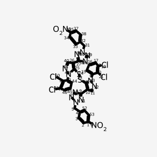 O=[N+]([O-])c1ccc(Cn2nnc(-c3cnn(-c4cccc(Cl)c4Cl)c3SSc3c(-c4nnn(Cc5ccc([N+](=O)[O-])cc5)n4)cnn3-c3cccc(Cl)c3Cl)n2)cc1